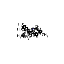 COc1ccc(CO[C@@H](C)C/C=C\C(OC(=O)c2ccccc2)C2OC(C)(C)O[C@H]2CCCc2cc(C)cc(C)c2C(=O)OCC[Si](C)(C)C)cc1